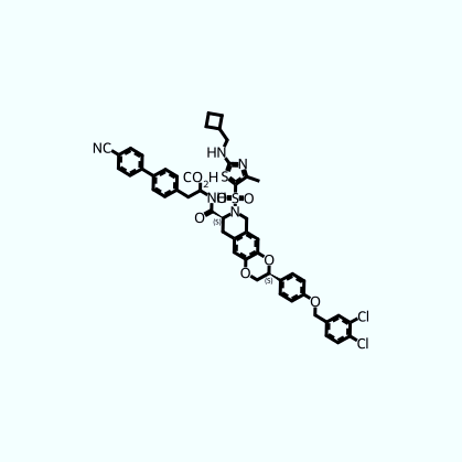 Cc1nc(NCC2CCC2)sc1S(=O)(=O)N1Cc2cc3c(cc2C[C@H]1C(=O)NC(Cc1ccc(-c2ccc(C#N)cc2)cc1)C(=O)O)OC[C@H](c1ccc(OCc2ccc(Cl)c(Cl)c2)cc1)O3